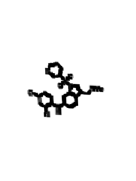 CNCc1cn(S(=O)(=O)c2cccnc2)c2cc(Nc3ccc(Cl)cc3Cl)ccc12